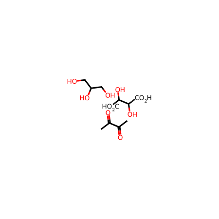 CC(=O)C(C)=O.O=C(O)C(O)C(O)C(=O)O.OCC(O)CO